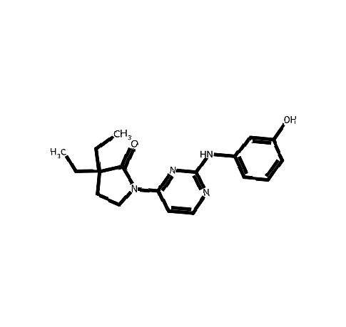 CCC1(CC)CCN(c2ccnc(Nc3cccc(O)c3)n2)C1=O